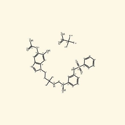 CC(C)(CCn1cnc2cc(OC(=O)O)c(O)cc21)NC[C@H](O)c1cccc(NS(=O)(=O)c2ccccc2)c1.O=C(O)C(F)(F)F